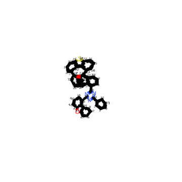 c1ccc(-c2nc(-c3cccc4c(-c5cccc6sc7cccc(-c8ccccc8)c7c56)cccc34)nc(-c3cccc4oc5ccccc5c34)n2)cc1